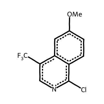 COc1ccc2c(Cl)ncc(C(F)(F)F)c2c1